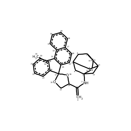 C=C(NC12CC3CC(CS1)CC(C3)C2)C1COC(c2ccccc2)(c2ccc3ccccc3c2OC)O1